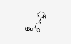 CC(C)(C)C(=O)CSC1=NCCS1